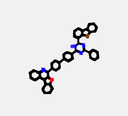 c1ccc(C2=NC(c3cccc4c3sc3ccccc34)NC(c3ccc(-c4ccc(-c5nc6ccccc6c6c5oc5ccccc56)cc4)cc3)=N2)cc1